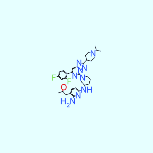 CC(=O)Cc1ccc(NC2CCCN(c3nc(-c4ccc(F)cc4F)cc4nc(C5CCN(C(C)C)CC5)nn34)C2)nc1N